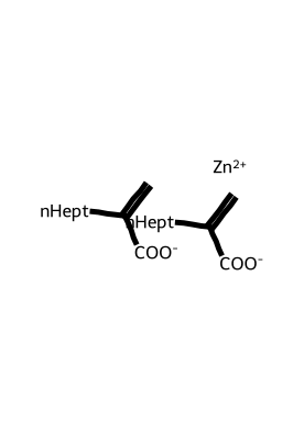 C=C(CCCCCCC)C(=O)[O-].C=C(CCCCCCC)C(=O)[O-].[Zn+2]